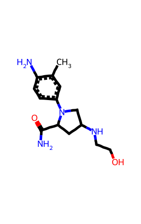 Cc1cc(N2CC(NCCO)CC2C(N)=O)ccc1N